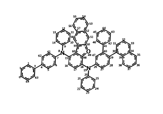 c1ccc(-c2ccc(N(c3ccccc3)c3ccc(N(c4ccccc4)c4ccc(-c5cccc6ccccc56)c(-c5ccccc5)c4)c4oc5cc6ccccc6cc5c34)cc2)cc1